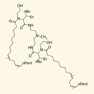 CCCCC/C=C\C/C=C\CCCCCCCC(=O)N(CCO)C(C(=O)NCCN(C)CCNC(=O)C(C(CC)CCCC)N(CCO)C(=O)CCCCCCC/C=C\C/C=C\CCCCC)C(CC)CCCC